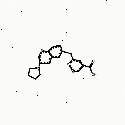 O=C(O)c1ccnc(Cc2ccc3ncc(N4CCCC4)cc3c2)c1